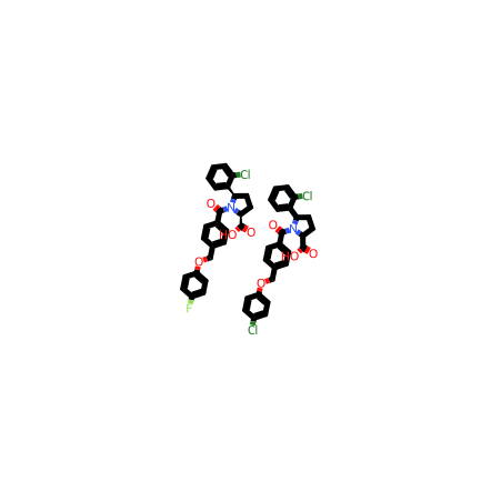 O=C(O)C1CCC(c2ccccc2Cl)N1C(=O)c1ccc(COc2ccc(Cl)cc2)cc1.O=C(O)[C@@H]1CC[C@H](c2ccccc2Cl)N1C(=O)c1ccc(COc2ccc(F)cc2)cc1